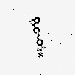 CC(C)(C)OC(=O)NC1CCC(CCN2CCC(C(=O)c3ccccc3Cl)CC2)CC1